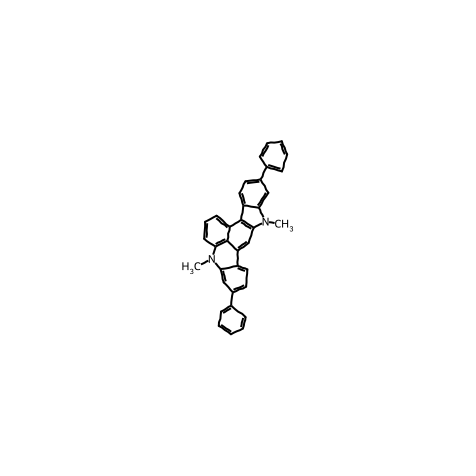 CN1c2cc(-c3ccccc3)ccc2-c2cc3c(c4cccc1c24)c1ccc(-c2ccccc2)cc1n3C